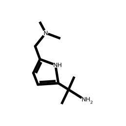 CN(C)Cc1ccc(C(C)(C)N)[nH]1